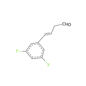 O=CCC=Cc1cc(F)cc(F)c1